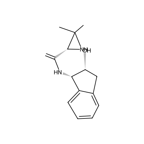 C=C(N[C@H]1c2ccccc2C[C@H]1O)[C@H]1NC1(C)C